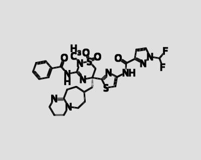 CN1C(NC(=O)c2ccccc2)=N[C@](CC2CCC3=NCCCN3CC2)(c2nc(NC(=O)c3ccn(C(F)F)n3)cs2)CS1(=O)=O